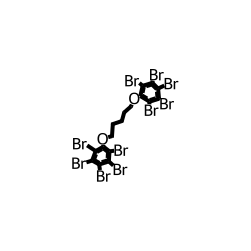 Brc1c(Br)c(Br)c(OCCCCCOc2c(Br)c(Br)c(Br)c(Br)c2Br)c(Br)c1Br